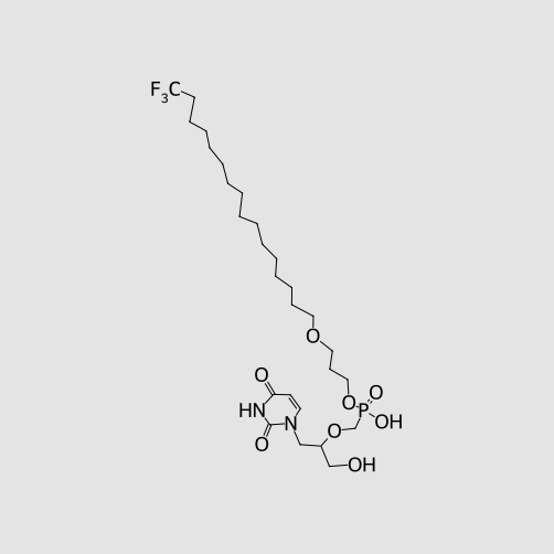 O=c1ccn(CC(CO)OCP(=O)(O)OCCCOCCCCCCCCCCCCCCCC(F)(F)F)c(=O)[nH]1